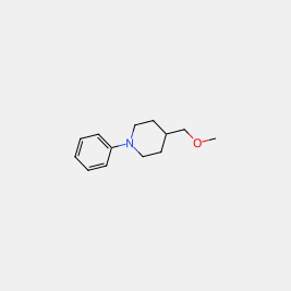 COCC1CCN(c2ccccc2)CC1